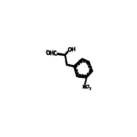 O=CC(O)Cc1cccc([N+](=O)[O-])c1